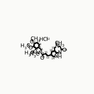 COc1ccc(CN(C)C(=O)C=Cc2cnc3c(c2)CN(C)CC(=O)N3)c(OC)c1OC.Cl